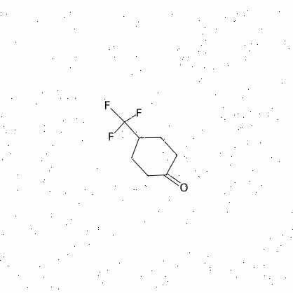 O=C1CCC(C(F)(F)F)CC1